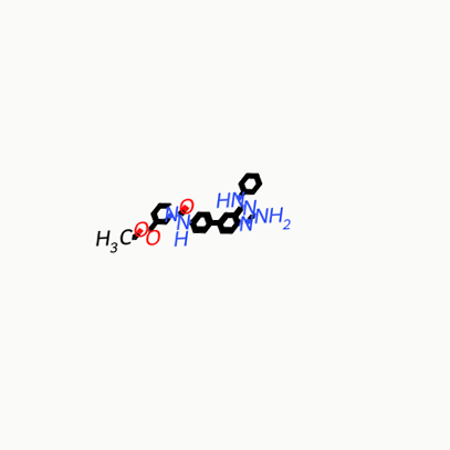 CCOC(=O)C1CCCN(C(=O)Nc2ccc(-c3ccc4nc(N)nc(NC5CCCCC5)c4c3)cc2)C1